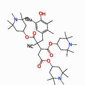 Cc1c(CC(C#N)(C(=O)OC2CC(C)(C)N(C)C(C)(C)C2)C(CC(=O)OC2CC(C)(C)N(C)C(C)(C)C2)C(=O)OC2CC(C)(C)N(C)C(C)(C)C2)cc(C(C)(C)C)c(O)c1C